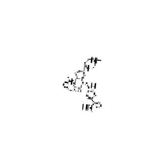 CC[C@H]1[C@H](C)C(Nc2ccc(C(=O)NC)cc2)c2cc(N3CCNCC3)ccc2N1C(C)=O